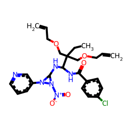 C=CCOCC(CC)(COCC=C)C(NC(=O)c1ccc(Cl)cc1)NC1N(c2cccnc2)N1[N+](=O)[O-]